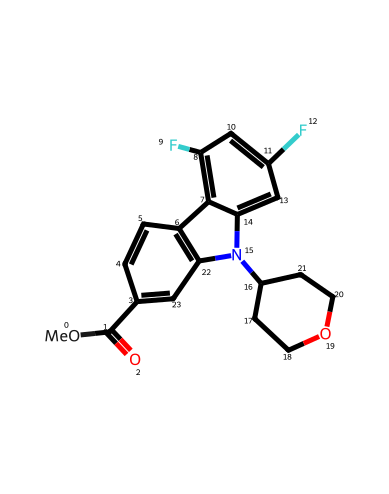 COC(=O)c1ccc2c3c(F)cc(F)cc3n(C3CCOCC3)c2c1